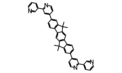 CC1(C)c2cc(-c3ccnc(-c4cccnc4)c3)ccc2-c2cc3c(cc21)-c1ccc(-c2ccnc(-c4cccnc4)c2)cc1C3(C)C